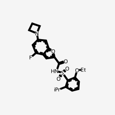 CCOc1cccc(C(C)C)c1S(=O)(=O)NC(=O)c1cc2c(F)cc(N3CCC3)cc2o1